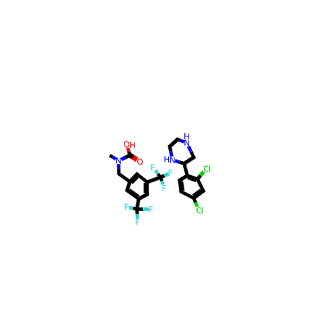 CN(Cc1cc(C(F)(F)F)cc(C(F)(F)F)c1)C(=O)O.Clc1ccc(C2CNCCN2)c(Cl)c1